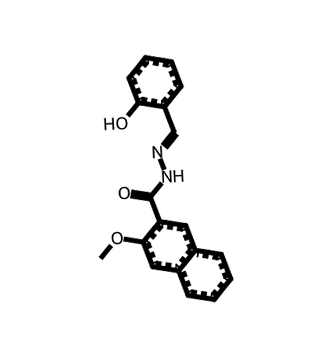 COc1cc2ccccc2cc1C(=O)N/N=C/c1ccccc1O